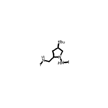 CC(C)(C)C1CC(CNI)N(NI)C1